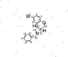 Brc1ccc2c(c1)[C@H]1CN(Cc3ccccc3)C[C@@H]1CO2